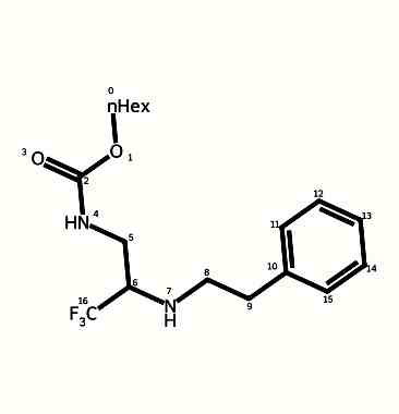 CCCCCCOC(=O)NCC(NCCc1ccccc1)C(F)(F)F